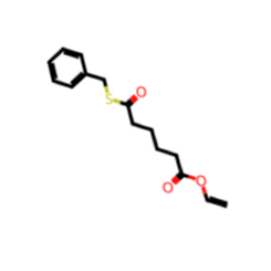 C=COC(=O)CCCCC(=O)SCc1ccccc1